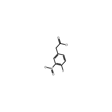 O=C(Cl)Cc1ccc(F)c([N+](=O)[O-])c1